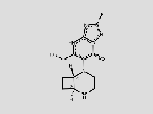 CCc1[nH]c2nc(Br)nn2c(=O)c1N1CCN[C@H]2CC[C@@H]21